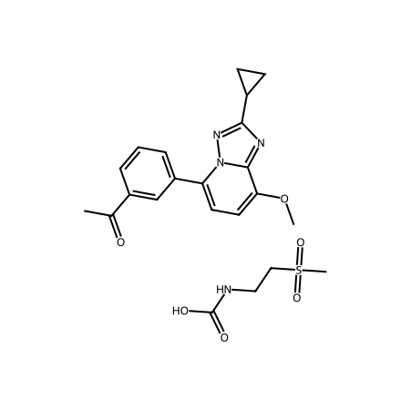 COc1ccc(-c2cccc(C(C)=O)c2)n2nc(C3CC3)nc12.CS(=O)(=O)CCNC(=O)O